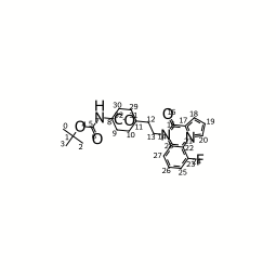 CC(C)(C)OC(=O)NC12CCC(CCn3c(=O)c4cccn4c4c(F)cccc43)(CC1)OC2